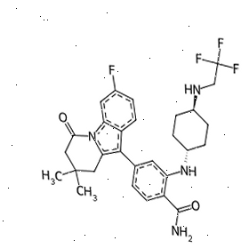 CC1(C)CC(=O)n2c(c(-c3ccc(C(N)=O)c(N[C@H]4CC[C@H](NCC(F)(F)F)CC4)c3)c3ccc(F)cc32)C1